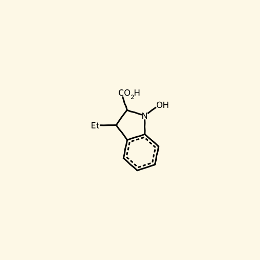 CCC1c2ccccc2N(O)C1C(=O)O